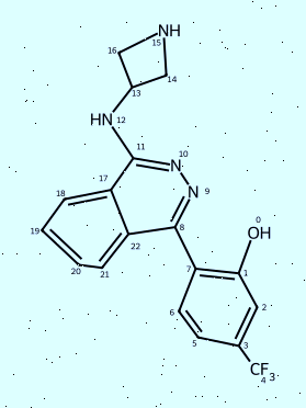 Oc1cc(C(F)(F)F)ccc1-c1nnc(NC2CNC2)c2ccccc12